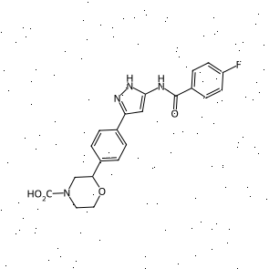 O=C(Nc1cc(-c2ccc(C3CN(C(=O)O)CCO3)cc2)n[nH]1)c1ccc(F)cc1